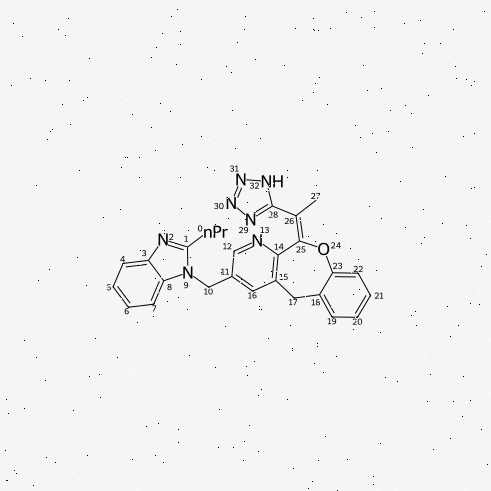 CCCc1nc2ccccc2n1Cc1cnc2c(c1)Cc1ccccc1OC2=C(C)c1nnn[nH]1